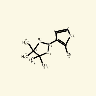 CC1(C)OB(c2ccsc2C#N)OC1(C)C